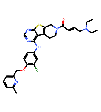 CCN(CC)C/C=C/C(=O)N1CCc2c(sc3ncnc(Nc4ccc(OCc5cccc(C)n5)c(Cl)c4)c23)C1